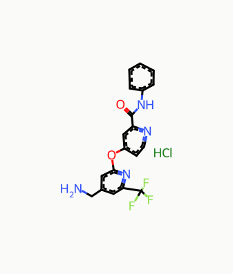 Cl.NCc1cc(Oc2ccnc(C(=O)Nc3ccccc3)c2)nc(C(F)(F)F)c1